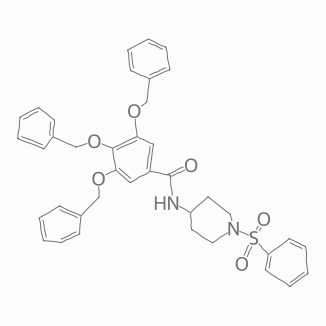 O=C(NC1CCN(S(=O)(=O)c2ccccc2)CC1)c1cc(OCc2ccccc2)c(OCc2ccccc2)c(OCc2ccccc2)c1